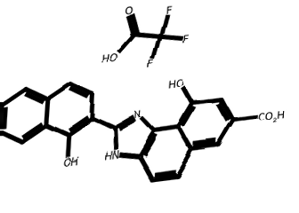 O=C(O)C(F)(F)F.O=C(O)c1cc(O)c2c(ccc3[nH]c(-c4ccc5ccccc5c4O)nc32)c1